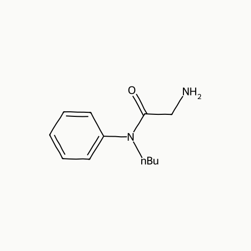 CCCCN(C(=O)CN)c1ccccc1